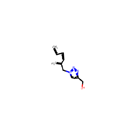 C=C/C=C\C(=C)Cn1cc(CO)nn1